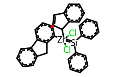 [Cl][Zr]([Cl])([c]1cccc2c1Cc1ccccc1-2)([CH]1C=Cc2ccccc21)=[Si](c1ccccc1)c1ccccc1